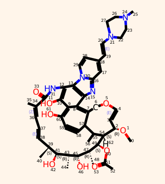 CO[C@H]1/C=C/OCC2=c3c4c(O)c(c5c3nc3cc(/C=C/N6CCN(C)CC6)ccn35)NC(=O)/C(C)=C\C=C\[C@H](C)[C@H](O)[C@@H](C)[C@@H](O)[C@@H](C)[C@H](OC(C)=O)[C@H]1C(C)C2C#CC=4O